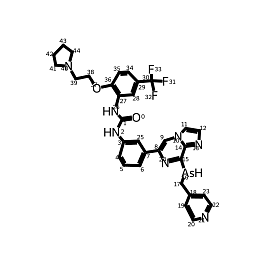 O=C(Nc1cccc(-c2cn3ccnc3c([AsH]Cc3ccncc3)n2)c1)Nc1cc(C(F)(F)F)ccc1OCCN1CCCC1